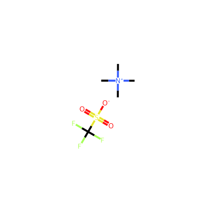 C[N+](C)(C)C.O=S(=O)([O-])C(F)(F)F